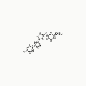 Cc1ccc(-c2nc(C3CCN(Cc4cccc(OCC(C)C)c4)C3)no2)nc1